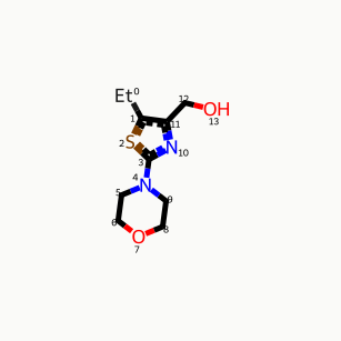 CCc1sc(N2CCOCC2)nc1CO